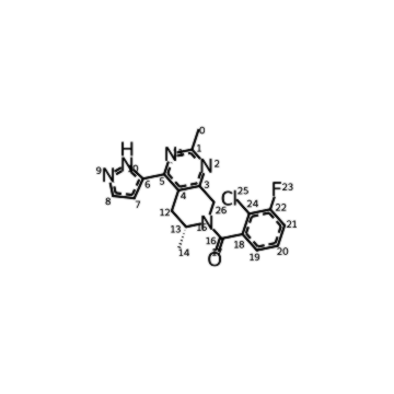 Cc1nc2c(c(-c3ccn[nH]3)n1)C[C@@H](C)N(C(=O)c1cccc(F)c1Cl)C2